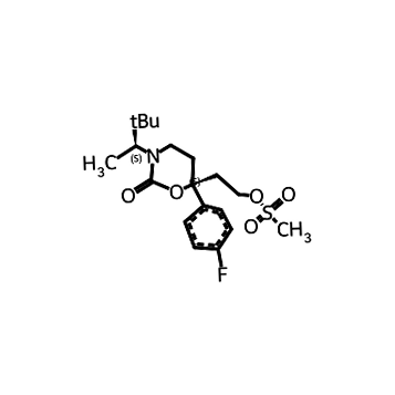 C[C@H](N1CC[C@](CCOS(C)(=O)=O)(c2ccc(F)cc2)OC1=O)C(C)(C)C